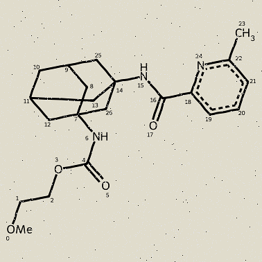 COCCOC(=O)NC12CC3CC(C1)CC(NC(=O)c1cccc(C)n1)(C3)C2